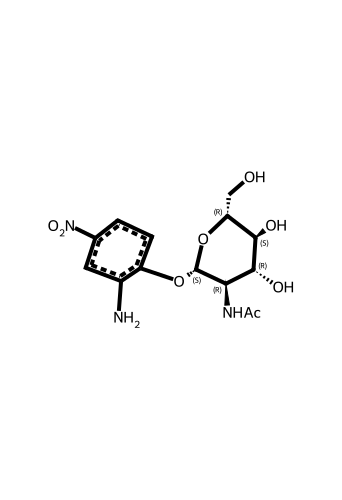 CC(=O)N[C@H]1[C@H](Oc2ccc([N+](=O)[O-])cc2N)O[C@H](CO)[C@@H](O)[C@@H]1O